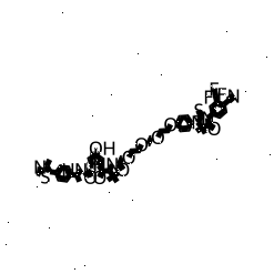 Cc1ncsc1-c1ccc(C(C)NC(=O)[C@@H]2C[C@@H](O)CN2C(=O)C(NC(=O)COCCOCCOCCOc2ccc(N3C(=S)N(c4ccc(C#N)c(C(F)(F)F)c4)C(=O)C3(C)C)cc2)C(C)(C)C)cc1